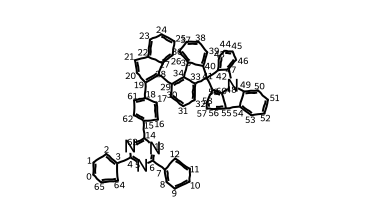 c1ccc(-c2nc(-c3ccccc3)nc(-c3ccc(-c4ccc5ccccc5c4-c4cccc5c4-c4ccccc4C54c5ccccc5-n5c6ccccc6c6cccc4c65)cc3)n2)cc1